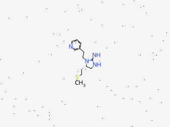 CSCC[C@H]1CNC(=N)N1CCc1cccnc1